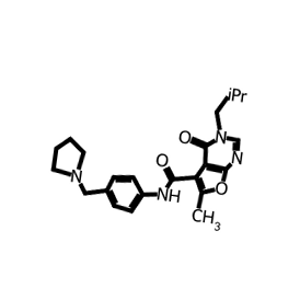 Cc1oc2ncn(CC(C)C)c(=O)c2c1C(=O)Nc1ccc(CN2CCCC2)cc1